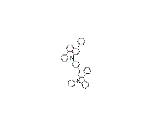 c1ccc(-c2ccc(N(c3ccc(-c4cc5c(c6ccccc46)c4ccccc4n5-c4ccccc4)cc3)c3ccccc3-c3ccccc3)cc2)cc1